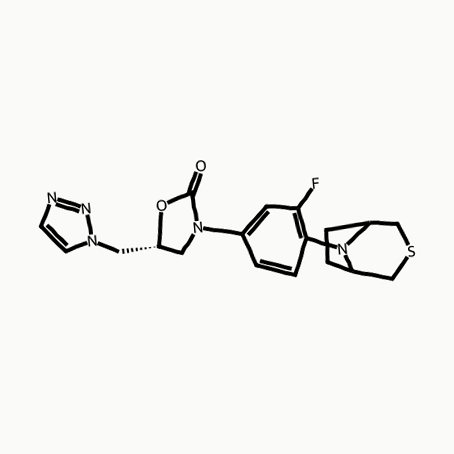 O=C1O[C@@H](Cn2ccnn2)CN1c1ccc(N2C3CCC2CSC3)c(F)c1